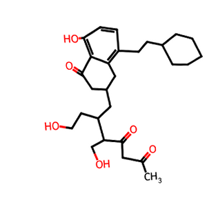 CC(=O)CC(=O)C(CO)C(CCO)CC1CC(=O)c2c(O)ccc(CCC3CCCCC3)c2C1